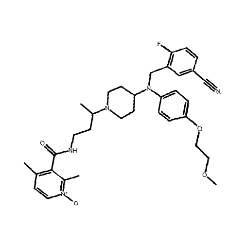 COCCOc1ccc(N(Cc2cc(C#N)ccc2F)C2CCN(C(C)CCNC(=O)c3c(C)cc[n+]([O-])c3C)CC2)cc1